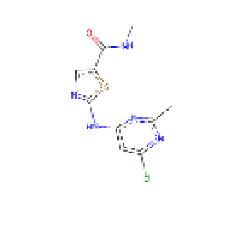 CNC(=O)c1cnc(Nc2cc(Cl)nc(C)n2)s1